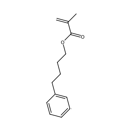 C=C(C)C(=O)OCCCCc1c[c]ccc1